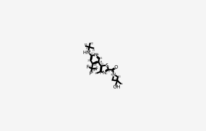 Cc1nc(C(=O)N2CC(C)(O)C2)sc1-c1cnc(NC(C)(C)C)cc1C(F)(F)F